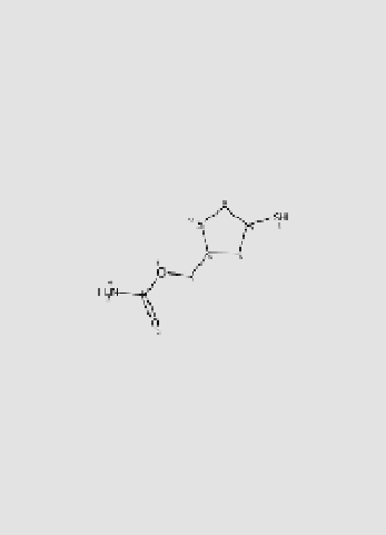 NC(=O)OCC1CC(S)CS1